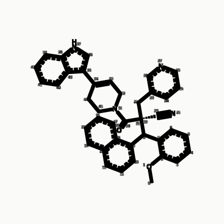 COc1ccccc1C(c1cccc2ccccc12)[C@](C#N)(Cc1cccnc1)C(=O)N1CC=C(c2c[nH]c3ccccc23)CC1